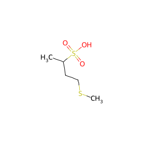 CSCCC(C)S(=O)(=O)O